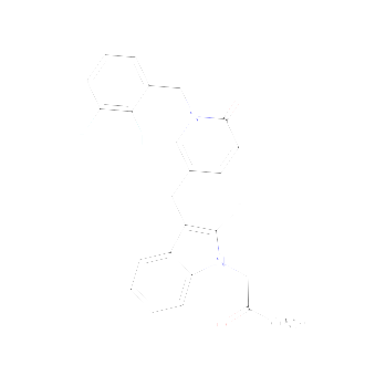 COC(=O)Cn1c(C)c(Cc2ccc(=O)n(Cc3cccc(F)c3F)c2)c2ccccc21